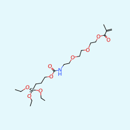 C=C(C)C(=O)OCCOCCOCCNC(=O)OCCC[Si](OCC)(OCC)OCC